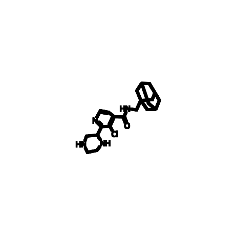 O=C(NCC12CC3CC(CC(C3)C1)C2)c1ccnc(C2CNCCN2)c1Cl